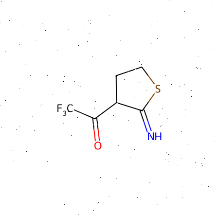 N=C1SCCC1C(=O)C(F)(F)F